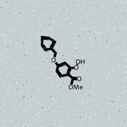 COC(=O)c1ccc(OCc2ccccc2)cc1OO